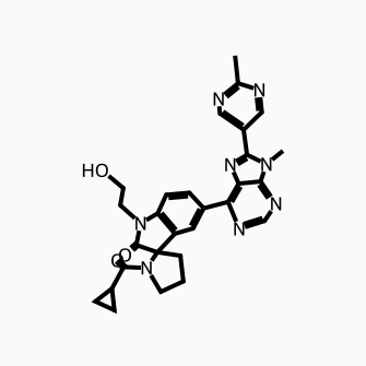 Cc1ncc(-c2nc3c(-c4ccc5c(c4)C4(CCCN4C(=O)C4CC4)C(=O)N5CCO)ncnc3n2C)cn1